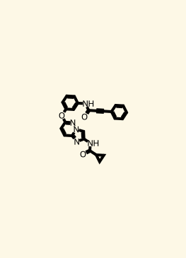 O=C(C#Cc1ccccc1)Nc1cccc(Oc2ccc3nc(NC(=O)C4CC4)cn3n2)c1